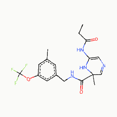 CCC(=O)NC1=CN=CC(C)(C(=O)NCc2cc(C)cc(OC(F)(F)F)c2)N1